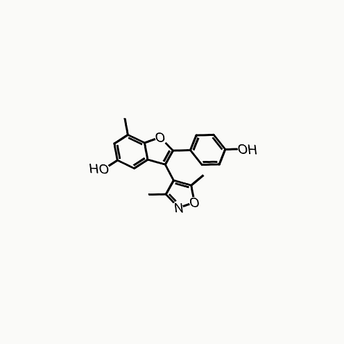 Cc1noc(C)c1-c1c(-c2ccc(O)cc2)oc2c(C)cc(O)cc12